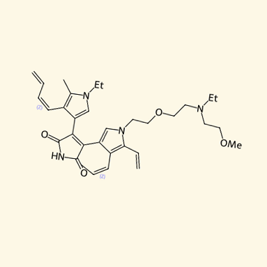 C=C/C=C\c1c(C2=C(c3cn(CCOCCN(CC)CCOC)c(C=C)c3/C=C\C)C(=O)NC2=O)cn(CC)c1C